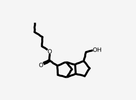 CCCCOC(=O)C1CC2CC1C1C(CO)CCC21